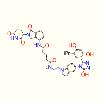 CC(C)c1cc(-c2nnc(O)n2-c2ccc3c(ccn3CCN(C)C(=O)CCCC(=O)Nc3cccc4c3CN(C3CCC(=O)NC3=O)C4=O)c2)c(O)cc1O